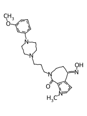 COc1cccc(N2CCN(CCCN3CCC(=NO)c4ccn(C)c4C3=O)CC2)c1